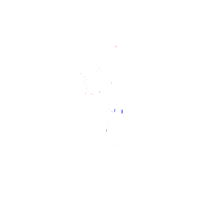 O=CCNc1cc(O)no1